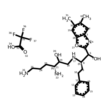 Cc1cc2nc(C(O)[C@@H](CCc3ccccc3)NCC(O)[C@H](N)CCCN)oc2cc1C.O=C(O)C(F)(F)F